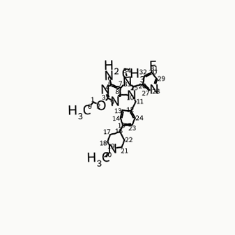 CCOc1nc(N)c2c(n1)N(Cc1ccc(C3CCN(C)CC3)cc1)C(c1cncc(F)c1)N2C